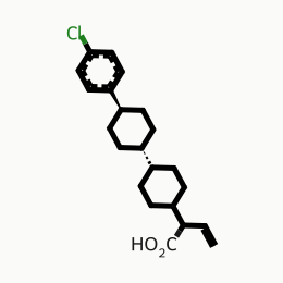 C=CC(C(=O)O)C1CCC([C@H]2CC[C@H](c3ccc(Cl)cc3)CC2)CC1